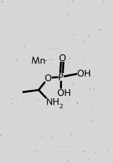 CC(N)OP(=O)(O)O.[Mn]